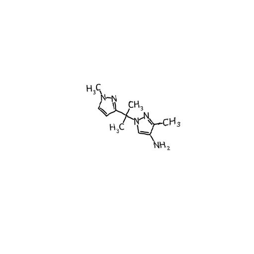 Cc1nn(C(C)(C)c2ccn(C)n2)cc1N